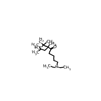 CCN(CC)CCCCC(=O)C(C)(CC(C)C)C(C)(C)C